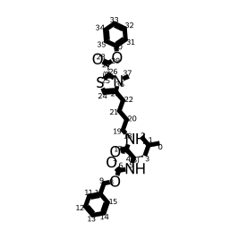 CC(C)C[C@H](NC(=O)OCc1ccccc1)C(=O)NCCCCC1=CS[C@H](C(=O)Oc2ccccc2)N1C